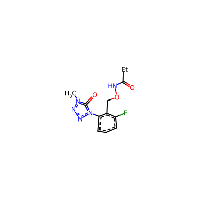 CCC(=O)NOCc1c(F)cccc1-n1nnn(C)c1=O